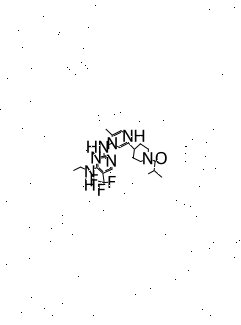 CCNc1nc(NN2C=C(C3CCN(C(=O)C(C)C)CC3)NC=C2C)ncc1C(F)(F)F